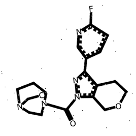 O=C(N1CCN2CCC1CC2)n1nc(-c2ccc(F)nc2)c2c1COCC2